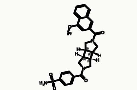 CC(C)Oc1cc(C(=O)N2C[C@@H]3[C@H]4CN(C(=O)c5ccc(S(N)(=O)=O)cc5)C[C@H]4[C@@H]3C2)cc2ccccc12